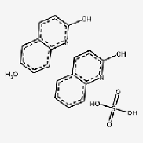 O.O=S(=O)(O)O.Oc1ccc2ccccc2n1.Oc1ccc2ccccc2n1